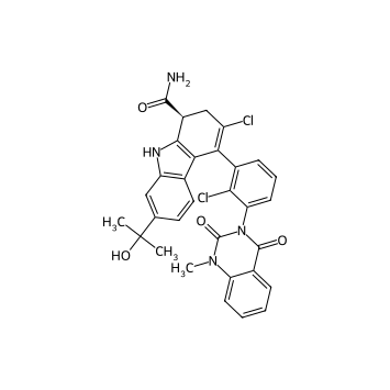 Cn1c(=O)n(-c2cccc(C3=C(Cl)C[C@H](C(N)=O)c4[nH]c5cc(C(C)(C)O)ccc5c43)c2Cl)c(=O)c2ccccc21